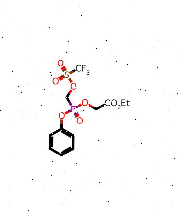 CCOC(=O)COP(=O)(COS(=O)(=O)C(F)(F)F)Oc1ccccc1